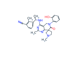 Cc1nc(N[C@H](C)c2cccc(C#N)c2C)c2c(n1)C1(CCN(C)C1)C(=O)N(c1ccccc1O)C2